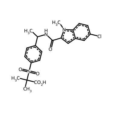 CC(NC(=O)c1cc2cc(Cl)ccc2n1C)c1ccc(S(=O)(=O)C(C)(C)C(=O)O)cc1